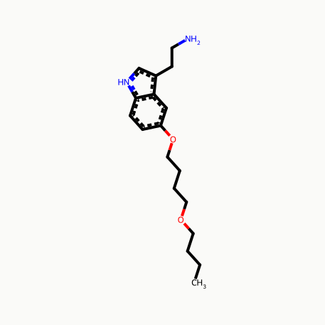 CCCCOCCCCOc1ccc2[nH]cc(CCN)c2c1